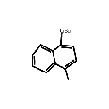 [CH2]c1ccc(OCC(C)C)c2ccccc12